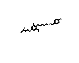 CCc1cc(OCC=C(Cl)Cl)cc(C)c1OCCCCON=Cc1ccc(Cl)cc1